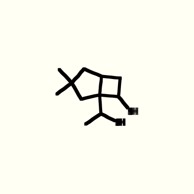 CC(S)C12CC(C)(C)CC1CC2S